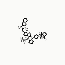 CC1(C)c2ccccc2N(c2ccc([Si](C)(C)c3ccccc3)cc2)c2ccc3cc(C=C4C(=O)c5cc6ccccc6cc5C4=O)ccc3c21